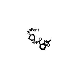 CCCCCO[C@H]1CC[C@H](NC(=O)c2cccc3oc(C)nc23)CC1